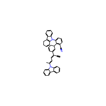 C#C/C(=C\C=C(/C)n1c2ccccc2c2ccccc21)C1=CC(c2c(C#N)cccc2-n2c3c(c4ccccc42)CCC=C3)CC=C1